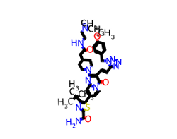 COc1ccc(Cn2nnnc2C=Cc2c(N3CCC(CC(=O)NCCN(C)C)CC3)nc3cc(-c4sc(C(N)=O)nc4C(C)(C)C)ccn3c2=O)cc1